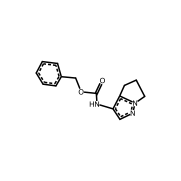 O=C(Nc1cnn2c1CCC2)OCc1ccccc1